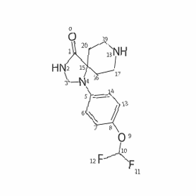 O=C1NCN(c2ccc(OC(F)F)cc2)C12CCNCC2